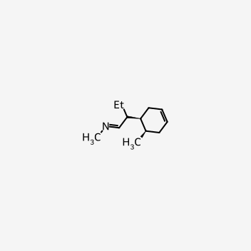 CCC(C=NC)[C@H]1CC=CC[C@H]1C